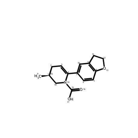 C[C@H]1CC=C(c2ccc3c(c2)CCO3)N(C(=O)O)C1